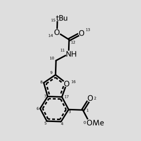 COC(=O)c1cccc2cc(CNC(=O)OC(C)(C)C)oc12